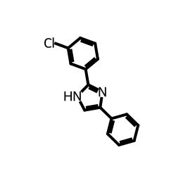 Clc1cccc(-c2nc(-c3ccccc3)c[nH]2)c1